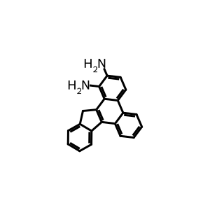 Nc1ccc2c(c1N)c1c(c3ccccc32)-c2ccccc2C1